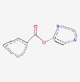 O=C(Oc1cnccn1)c1ccccc1